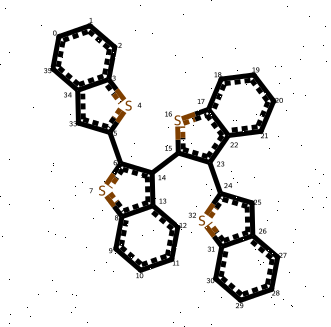 c1ccc2sc(-c3sc4ccccc4c3-c3sc4ccccc4c3-c3cc4ccccc4s3)cc2c1